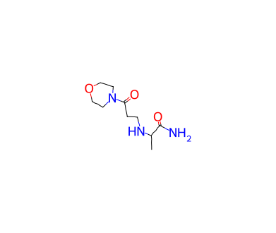 CC(NCCC(=O)N1CCOCC1)C(N)=O